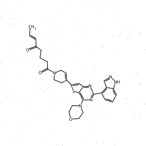 CC=CC(=O)CCCC(=O)N1CC=C(c2cc3nc(-c4cccc5[nH]ncc45)nc(N4CCOCC4)c3s2)CC1